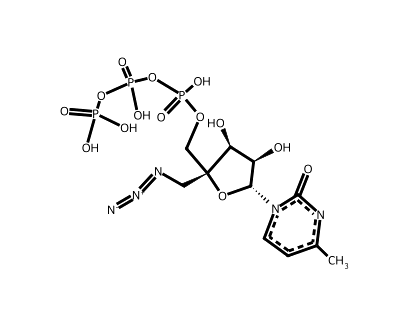 Cc1ccn([C@@H]2O[C@](CN=[N+]=[N-])(COP(=O)(O)OP(=O)(O)OP(=O)(O)O)[C@@H](O)[C@H]2O)c(=O)n1